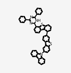 c1ccc(C2=NC(c3cccc4c3sc3cccc(-c5ccc6c(c5)sc5ccc(-n7c8ccccc8c8ccccc87)cc56)c34)NC(c3ccccc3)=N2)cc1